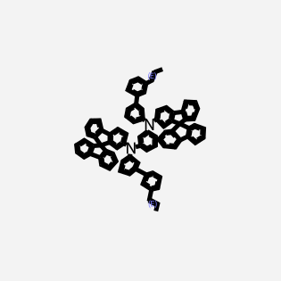 C/C=C/c1cccc(-c2cccc(N(c3cccc(N(c4cccc(-c5cccc(/C=C/C)c5)c4)c4ccc5c(c4)C4(c6ccccc6-c6ccccc64)c4ccccc4-5)c3)c3ccc4c(c3)C3(c5ccccc5-c5ccccc53)c3ccccc3-4)c2)c1